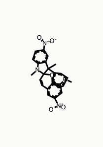 COc1cc([N+](=O)[O-])cc2c1OC1(C=C2)N(C)c2ccc([N+](=O)[O-])cc2C1(C)c1ccccc1